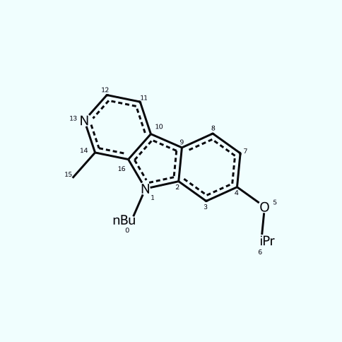 CCCCn1c2cc(OC(C)C)ccc2c2ccnc(C)c21